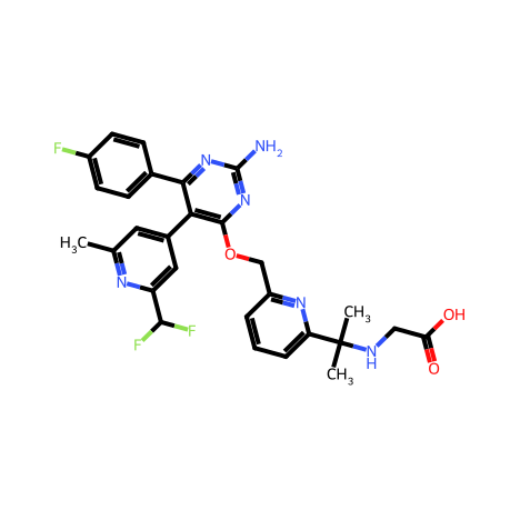 Cc1cc(-c2c(OCc3cccc(C(C)(C)NCC(=O)O)n3)nc(N)nc2-c2ccc(F)cc2)cc(C(F)F)n1